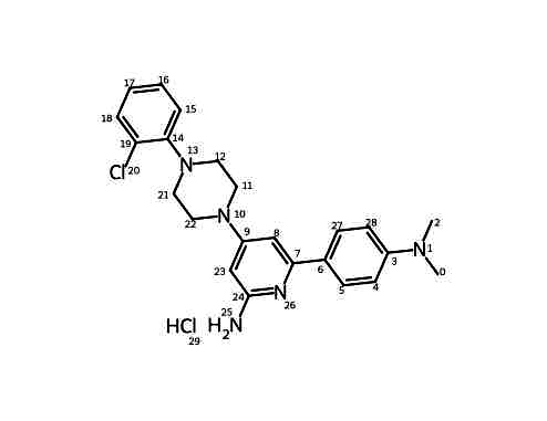 CN(C)c1ccc(-c2cc(N3CCN(c4ccccc4Cl)CC3)cc(N)n2)cc1.Cl